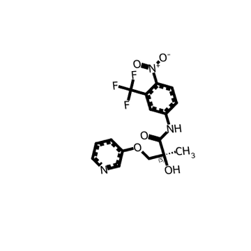 C[C@](O)(COc1cccnc1)C(=O)Nc1ccc([N+](=O)[O-])c(C(F)(F)F)c1